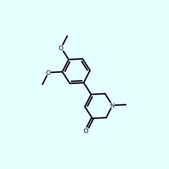 COc1ccc(C2=CC(=O)CN(C)C2)cc1OC